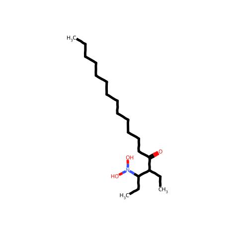 CCCCCCCCCCCCCC(=O)C(CC)C(CC)N(O)O